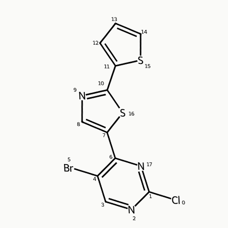 Clc1ncc(Br)c(-c2cnc(-c3cccs3)s2)n1